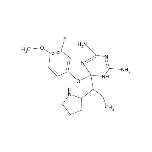 CCC(C1CCCN1)C1(Oc2ccc(OC)c(F)c2)N=C(N)N=C(N)N1